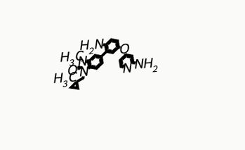 Cn1c(=O)n(CC2(C)CC2)c2ccc(-c3cc(Oc4ccnc(N)c4)ccc3N)cc21